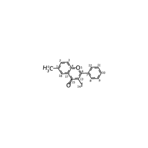 Cc1ccc2oc(-c3ccccc3)c(I)c(=O)c2c1